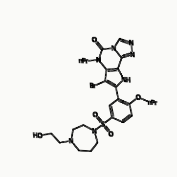 CCCOc1ccc(S(=O)(=O)N2CCCN(CCO)CC2)cc1-c1[nH]c2c(c1Br)n(CCC)c(=O)n1cnnc21